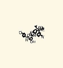 CC(C)(C)[S@@+]([O-])NC(CCC1CC1)(c1cccc(C#N)c1)c1ccc(F)c(NC(=O)[C@H]2C[C@H](O)CN2C(=O)Nc2ccc(Cl)cc2)c1